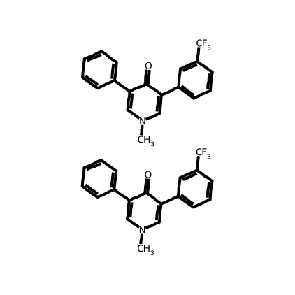 Cn1cc(-c2ccccc2)c(=O)c(-c2cccc(C(F)(F)F)c2)c1.Cn1cc(-c2ccccc2)c(=O)c(-c2cccc(C(F)(F)F)c2)c1